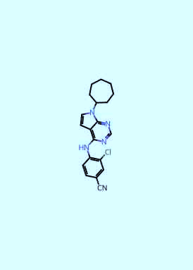 N#Cc1ccc(Nc2ncnc3c2ccn3C2CCCCCC2)c(Cl)c1